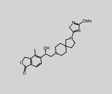 COc1nsc(N2CCC3(CCN(C[C@H](O)c4ccc5c(c4C)COC5=O)CC3)C2)n1